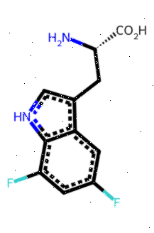 N[C@@H](Cc1c[nH]c2c(F)cc(F)cc12)C(=O)O